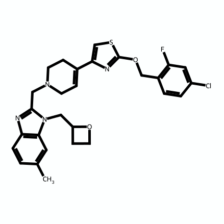 Cc1ccc2nc(CN3CC=C(c4csc(OCc5ccc(Cl)cc5F)n4)CC3)n(CC3CCO3)c2c1